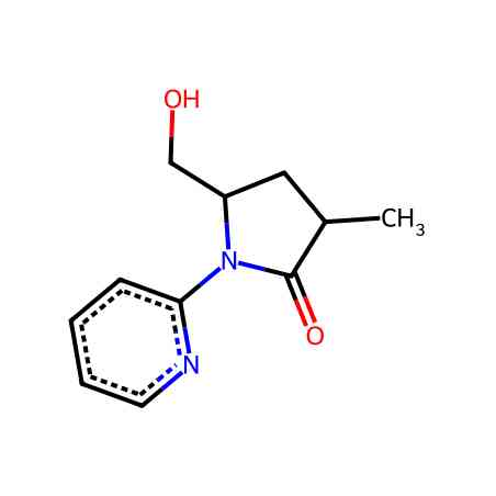 CC1CC(CO)N(c2ccccn2)C1=O